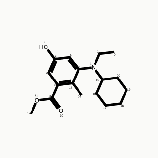 CCN(c1cc(O)cc(C(=O)OC)c1C)C1CCCCC1